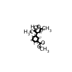 COC(=O)c1cccc(C(C=C(C)C)=C(C)C)c1